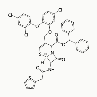 O=C(Cc1cccs1)NC1C(=O)N2C(C(=O)OC(c3ccccc3)c3ccccc3)C(COc3cc(Cl)ccc3Oc3ccc(Cl)cc3Cl)=CS[C@H]12